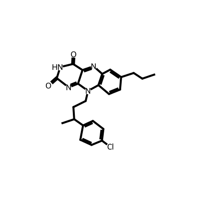 CCCc1ccc2c(c1)nc1c(=O)[nH]c(=O)nc-1n2CCC(C)c1ccc(Cl)cc1